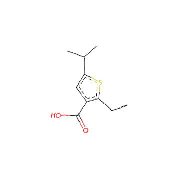 CCc1sc(C(C)C)cc1C(=O)O